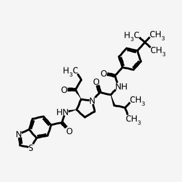 CCC(=O)[C@@H]1[C@H](NC(=O)c2ccc3ncsc3c2)CCN1C(=O)[C@H](CC(C)C)NC(=O)c1ccc(C(C)(C)C)cc1